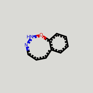 c1ccc2o[nH]ncccc2c1